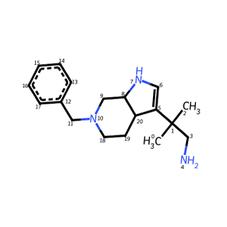 CC(C)(CN)C1=CNC2CN(Cc3ccccc3)CCC12